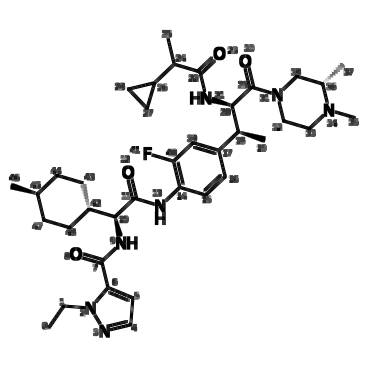 CCn1nccc1C(=O)N[C@H](C(=O)Nc1ccc([C@H](C)[C@@H](NC(=O)C(C)C2CC2)C(=O)N2CCN(C)[C@@H](C)C2)cc1F)[C@H]1CC[C@H](C)CC1